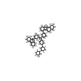 c1ccc(-c2cccc(-c3ccc(N(c4cccc(-c5cccc6oc7c8ccccc8ccc7c56)c4)c4cccc(-n5c6ccccc6c6ccccc65)c4)cc3)c2)cc1